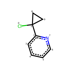 ClC1(c2ccccn2)CC1